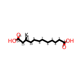 O=C(O)CCCCCCCC[CH]([K])CC(=O)O